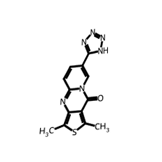 Cc1sc(C)c2c(=O)n3cc(-c4nnn[nH]4)ccc3nc12